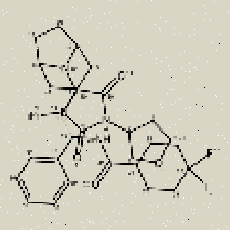 CC(C)N1C(=O)N(C2CCOC2)C(=O)C12CC1CCC(C2)N1CC[C@H](NC(=O)C1CCC(F)(F)CC1)c1ccccc1